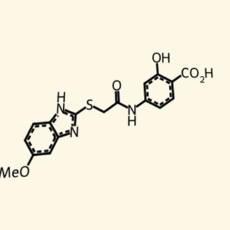 COc1ccc2[nH]c(SCC(=O)Nc3ccc(C(=O)O)c(O)c3)nc2c1